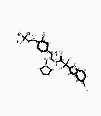 CC(C)(O)COc1ccc([C@H](O)[C@@H](CN2CCCC2)NC(=O)C(F)(F)c2cc3cc(Cl)ccc3o2)cc1Cl